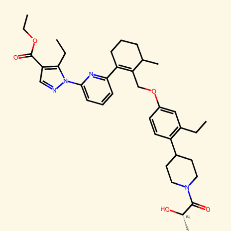 CCOC(=O)c1cnn(-c2cccc(C3=C(COc4ccc(C5CCN(C(=O)[C@H](C)O)CC5)c(CC)c4)C(C)CCC3)n2)c1CC